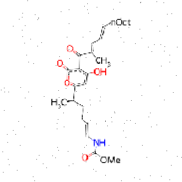 CCCCCCCC/C=C/C=C(\C)C(=O)c1c(O)cc([C@H](C)CC/C=C/NC(=O)OC)oc1=O